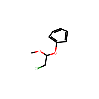 COC(CCl)Oc1ccccc1